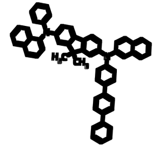 CC1(C)c2cc(N(c3ccc(-c4ccc(-c5ccccc5)cc4)cc3)c3ccc4ccccc4c3)ccc2-c2ccc(N(c3ccccc3)c3cccc4ccccc34)cc21